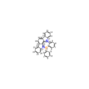 c1ccc(-p2c3ccccc3n3c4ccccc4c4ccc5c6ccccc6n2c5c43)cc1